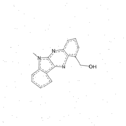 Cn1c2ccccc2c2nc3c(CO)cccc3nc21